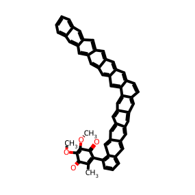 COC1=C(OC)C(=O)C(c2cccc3cc4cc5cc6cc7ccc8cc9cc%10cc%11cc%12cc%13ccccc%13cc%12cc%11cc%10cc9cc8c7cc6cc5cc4cc23)=C(C)C1=O